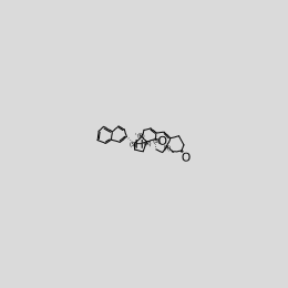 C[C@]12CC=C3C=C4CCC(=O)C[C@]45CC[C@]3(O5)[C@@H]1CC[C@@H]2c1ccc2ccccc2c1